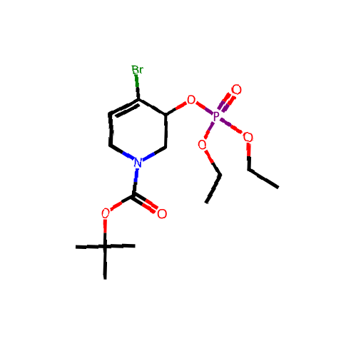 CCOP(=O)(OCC)OC1CN(C(=O)OC(C)(C)C)CC=C1Br